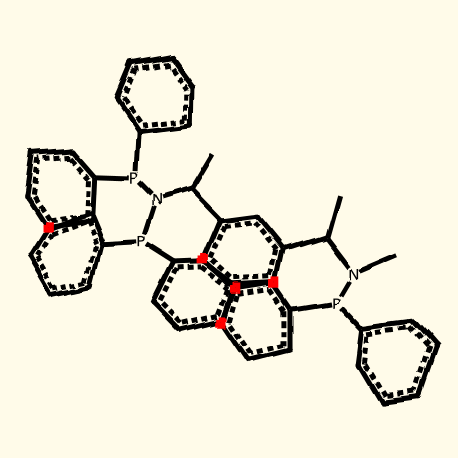 CC(c1cccc(C(C)N(P(c2ccccc2)c2ccccc2)P(c2ccccc2)c2ccccc2)c1)N(C)P(c1ccccc1)c1ccccc1